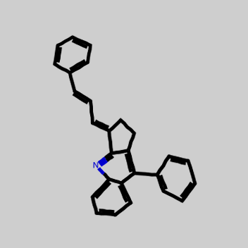 C(=Cc1ccccc1)C=C1CCc2c1nc1ccccc1c2-c1ccccc1